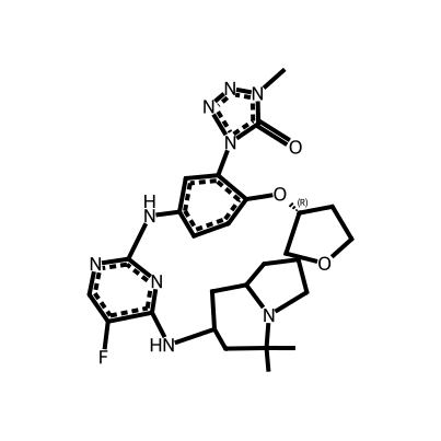 Cn1nnn(-c2cc(Nc3ncc(F)c(NC4CC5CCCN5C(C)(C)C4)n3)ccc2O[C@@H]2CCOC2)c1=O